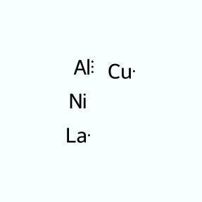 [Al].[Cu].[La].[Ni]